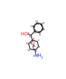 NC12CCC(C(O)c3ccccc3)(CC1)OC2